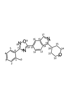 Cc1ccccc1-c1noc(-c2ccc3c(c2)C=NC3C2CCOCC2)n1